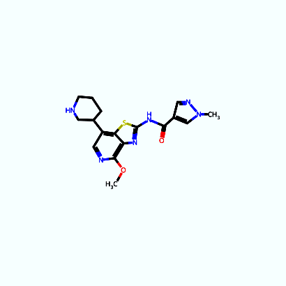 COc1ncc(C2CCCNC2)c2sc(NC(=O)c3cnn(C)c3)nc12